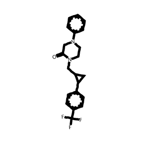 O=C1CN(c2ccccc2)CCN1CC1CC1c1ccc(C(F)(F)F)cc1